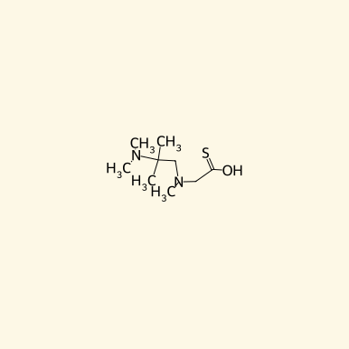 CN(CC(O)=S)CC(C)(C)N(C)C